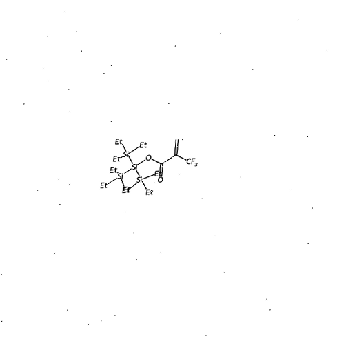 C=C(C(=O)O[Si]([Si](CC)(CC)CC)([Si](CC)(CC)CC)[Si](CC)(CC)CC)C(F)(F)F